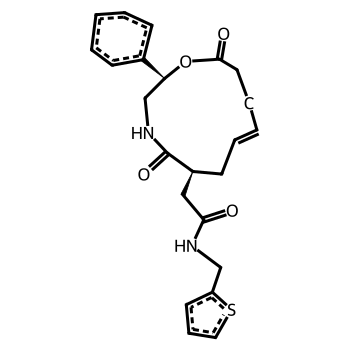 O=C(C[C@@H]1C/C=C/CCC(=O)O[C@H](c2ccccc2)CNC1=O)NCc1cccs1